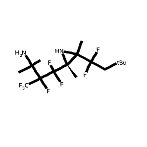 CC(C)(C)CC(F)(F)C1(C)N[C@@]1(C)C(F)(F)C(F)(C(C)(C)N)C(F)(F)F